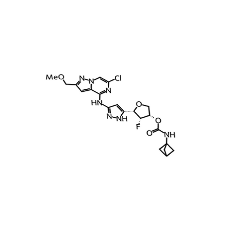 COCc1cc2c(Nc3cc([C@@H]4OC[C@H](OC(=O)NC56CC(C5)C6)[C@@H]4F)[nH]n3)nc(Cl)cn2n1